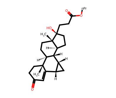 CCCOC(=O)CC[C@]1(O)CC[C@H]2[C@@H]3[C@@H]4C[C@@H]4C4=CC(=O)CC[C@]4(C)[C@H]3CC[C@@]21C